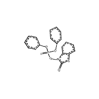 O=c1sc2ccccc2n1OP(=O)(Oc1ccccc1)Oc1ccccc1